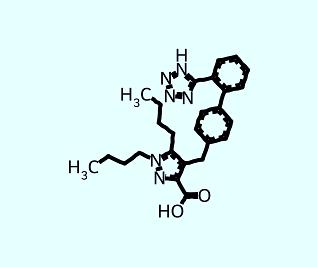 CCCCc1c(Cc2ccc(-c3ccccc3-c3nnn[nH]3)cc2)c(C(=O)O)nn1CCCC